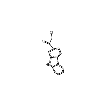 O=C(CCl)c1ccc2c(c1)[nH]c1ccccc12